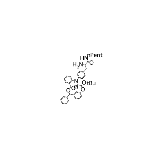 CCCCCNC(=O)C(N)Cc1ccc(N(C(=O)C(=O)OC(C)(C)C)c2ccccc2C(=O)OC(c2ccccc2)c2ccccc2)cc1